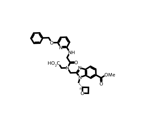 COC(=O)c1ccc2nc(CN(CC(=O)O)C(=O)CNc3cccc(OCc4ccccc4)n3)n(C[C@@H]3CCO3)c2c1